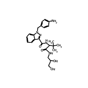 CC(C)(C)C(NC(=O)c1nn(Cc2ccc(N)cc2)c2ccccc12)C(=O)NCC(O)CO